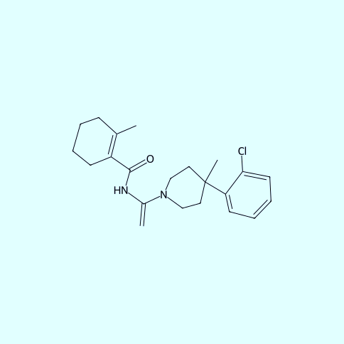 C=C(NC(=O)C1=C(C)CCCC1)N1CCC(C)(c2ccccc2Cl)CC1